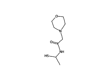 CC(S)NC(=O)CN1CCOCC1